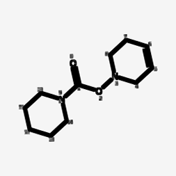 O=C(ON1CC=CCC1)N1CCCCC1